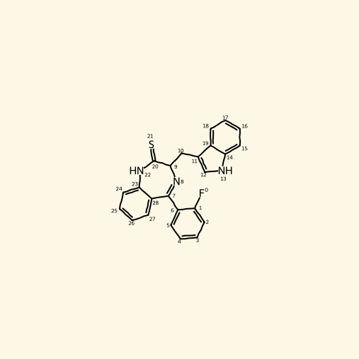 Fc1ccccc1C1=NC(Cc2c[nH]c3ccccc23)C(=S)Nc2ccccc21